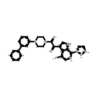 O=C(C(=O)N1CCN(c2cccc(-c3ccccc3)c2)CC1)c1c[nH]c2c(-n3ccnn3)ncc(F)c12